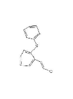 ClC=Cc1ccccc1Oc1ccccc1